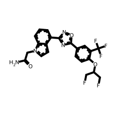 NC(=O)Cn1ccc2c(-c3noc(-c4ccc(OC(CF)CF)c(C(F)(F)F)c4)n3)cccc21